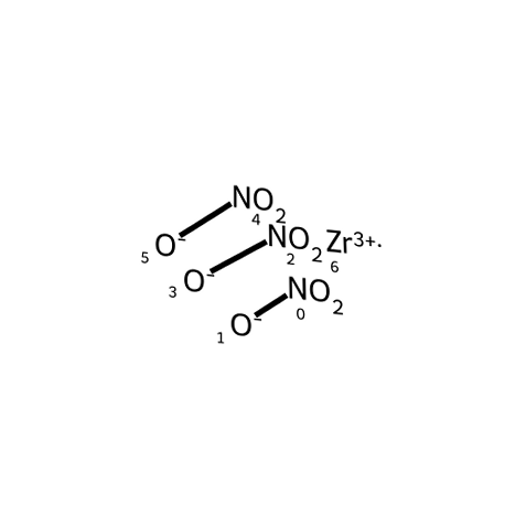 O=[N+]([O-])[O-].O=[N+]([O-])[O-].O=[N+]([O-])[O-].[Zr+3]